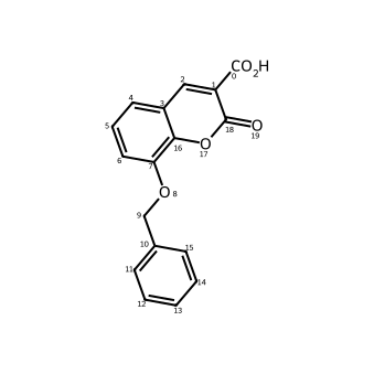 O=C(O)c1cc2cccc(OCc3ccccc3)c2oc1=O